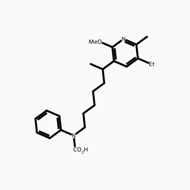 CCc1cc(C(C)CCCCCN(C(=O)O)c2ccccc2)c(OC)nc1C